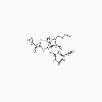 CSCCC1NC2(CCN(C(=O)C3CC3)CC2)N(Cc2cccc(C#N)c2)C1=O